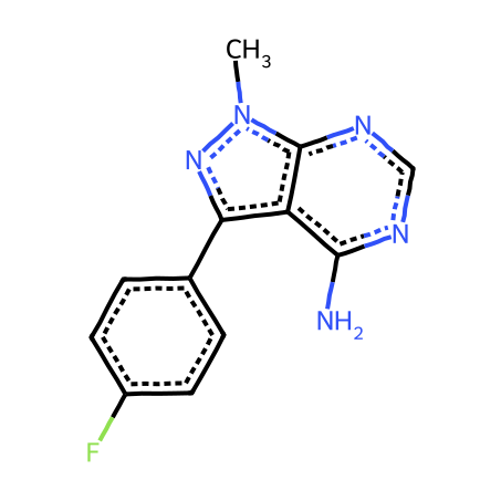 Cn1nc(-c2ccc(F)cc2)c2c(N)ncnc21